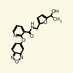 CC(O)c1ccc(CNC(=O)c2cccnc2Oc2ccc3nonc3c2)o1